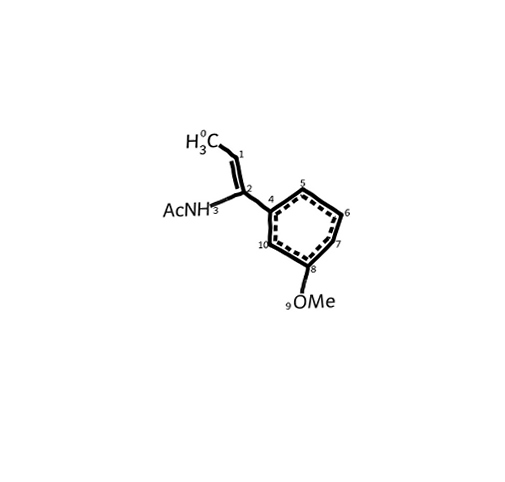 C/C=C(\NC(C)=O)c1cccc(OC)c1